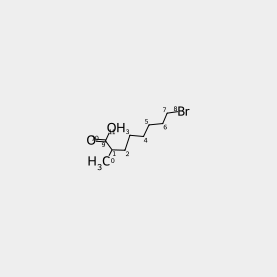 CC(CCCCCCBr)C(=O)O